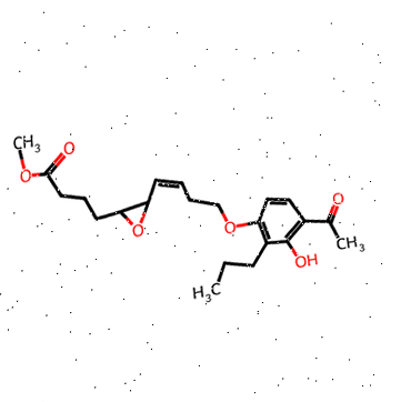 CCCc1c(OCC/C=C\C2OC2CCCC(=O)OC)ccc(C(C)=O)c1O